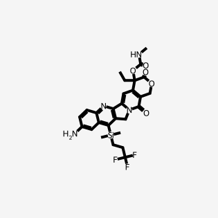 CCC1(OC(=O)NC)C(=O)OCc2c1cc1n(c2=O)Cc2c-1nc1ccc(N)cc1c2[Si](C)(C)CCC(F)(F)F